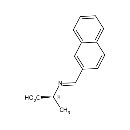 C[C@H](N=Cc1ccc2ccccc2c1)C(=O)O